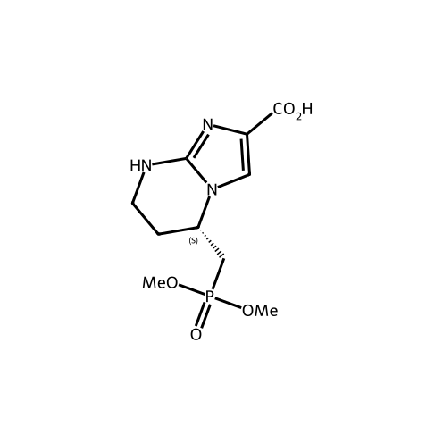 COP(=O)(C[C@@H]1CCNc2nc(C(=O)O)cn21)OC